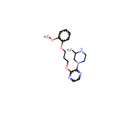 COc1ccccc1OCCCOc1nccnc1N1CCNC(C)C1